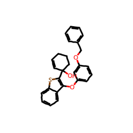 OC1(c2sc3ccccc3c2Oc2cccc(OCc3ccccc3)c2)C=CCCC1